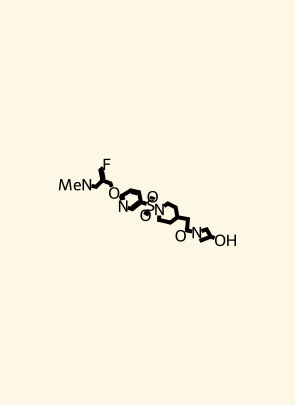 CNC/C(=C/F)COc1ccc(S(=O)(=O)N2CCC(CC(=O)N3CC(O)C3)CC2)cn1